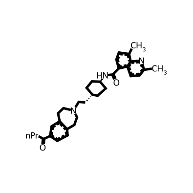 CCCC(=O)c1ccc2c(c1)CCN(CC[C@H]1CC[C@H](NC(=O)c3ccc(C)c4nc(C)ccc34)CC1)CC2